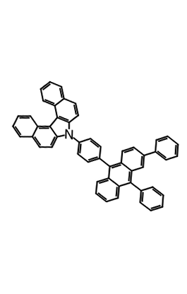 c1ccc(-c2ccc3c(-c4ccc(-n5c6ccc7ccccc7c6c6c7ccccc7ccc65)cc4)c4ccccc4c(-c4ccccc4)c3c2)cc1